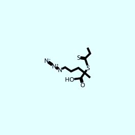 CCC(=S)SC(C)(CCCN=[N+]=[N-])C(=O)O